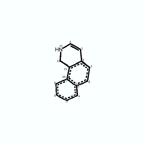 C1=Cc2ccc3ccccc3c2CN1